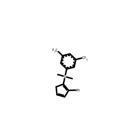 CC(C)C1=C([Si](C)(C)c2cc(C(F)(F)F)cc(C(F)(F)F)c2)CC=C1